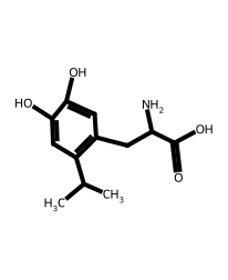 CC(C)c1cc(O)c(O)cc1CC(N)C(=O)O